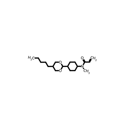 C=CC(=O)N(C)C1CCC(C2OCC(CCCCC)CO2)CC1